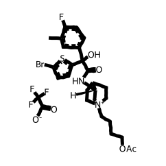 CC(=O)OCCCC[N+]12CCC(CC1)[C@@H](NC(=O)C(O)(c1ccc(F)c(C)c1)c1ccc(Br)s1)C2.O=C([O-])C(F)(F)F